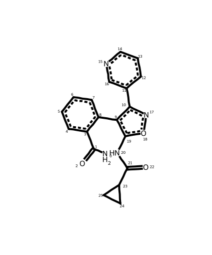 NC(=O)c1ccccc1-c1c(-c2cccnc2)noc1NC(=O)C1CC1